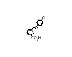 O=C(O)c1cccc(COc2ccc(Cl)cc2)n1